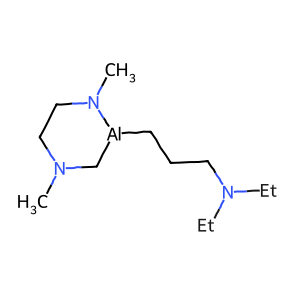 CCN(CC)CC[CH2][Al]1[CH2]N(C)CC[N]1C